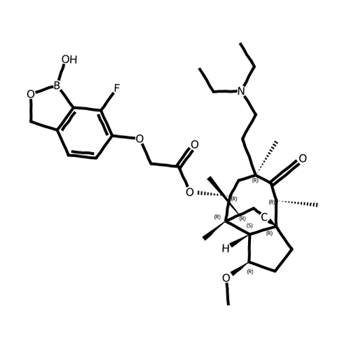 CCN(CC)CC[C@]1(C)C[C@@H](OC(=O)COc2ccc3c(c2F)B(O)OC3)[C@]2(C)[C@H](C)CC[C@]3(CC[C@@H](OC)[C@@H]32)[C@@H](C)C1=O